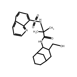 CC(C)(NS(=O)(=O)c1cccc2cccnc12)C(=O)NC1C(CO)CC2CCCC1C2